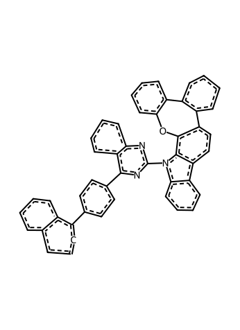 c1ccc2c(c1)Oc1c(ccc3c4ccccc4n(-c4nc(-c5ccc(-c6cccc7ccccc67)cc5)c5ccccc5n4)c13)-c1ccccc1-2